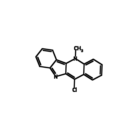 Cn1c2c3ccccc3nc-2c(Cl)c2ccccc21